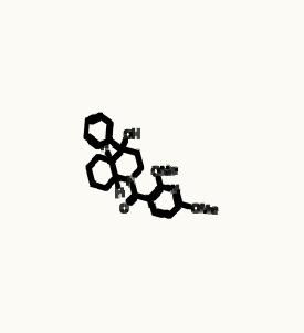 COc1ccc(C(=O)N2CCC(O)(c3ccccc3)[C@H]3CCCC[C@H]32)c(OC)n1